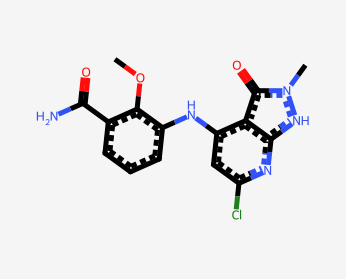 COc1c(Nc2cc(Cl)nc3[nH]n(C)c(=O)c23)cccc1C(N)=O